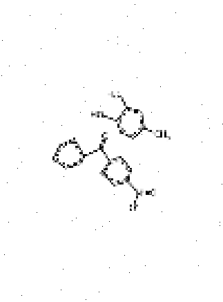 Cc1ccc(O)c(C)c1.O=C(c1ccccc1)c1ccc([N+](=O)[O-])cc1